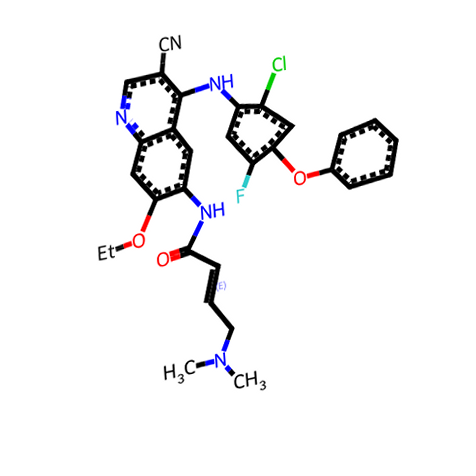 CCOc1cc2ncc(C#N)c(Nc3cc(F)c(Oc4ccccc4)cc3Cl)c2cc1NC(=O)/C=C/CN(C)C